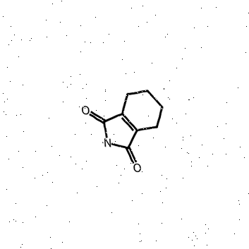 O=C1[N]C(=O)C2=C1CCCC2